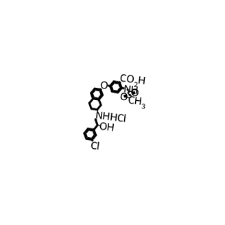 CS(=O)(=O)Nc1ccc(Oc2ccc3c(c2)C[C@@H](NC[C@H](O)c2cccc(Cl)c2)CC3)cc1C(=O)O.Cl